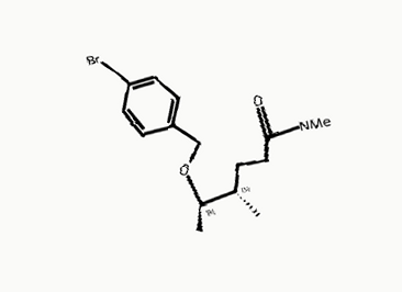 CNC(=O)CC[C@H](C)[C@@H](C)OCc1ccc(Br)cc1